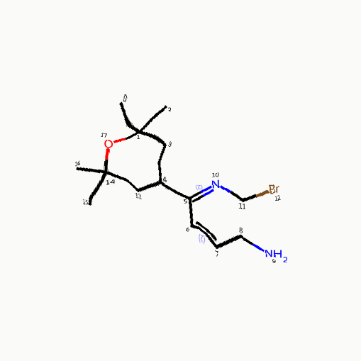 CC1(C)CC(C(/C=C\CN)=N/CBr)CC(C)(C)O1